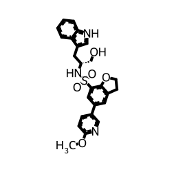 COc1ccc(-c2cc3c(c(S(=O)(=O)N[C@@H](CO)Cc4c[nH]c5ccccc45)c2)OCC3)cn1